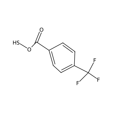 O=C(OS)c1ccc(C(F)(F)F)cc1